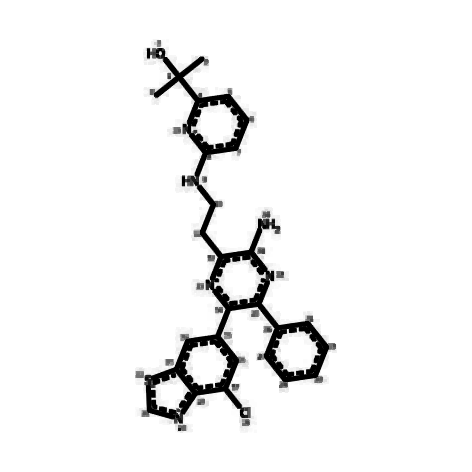 CC(C)(O)c1cccc(NCCc2nc(-c3cc(Cl)c4ncsc4c3)c(-c3ccccc3)nc2N)n1